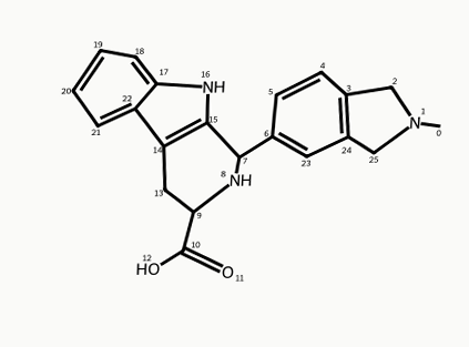 CN1Cc2ccc(C3NC(C(=O)O)Cc4c3[nH]c3ccccc43)cc2C1